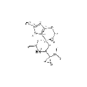 C[C@H]1C[C@@]2(CC(C3(N(C)C)CC3)N1)OCCc1cc(Cl)sc12